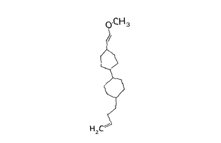 C=CCCC1CCC(C2CCC(/C=C/OC)CC2)CC1